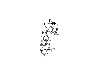 C=CSc1c(C)cccc1C(=O)NC1CCC(Nc2cc(C(C)(F)F)nc(C(F)(P)P)c2)CC1